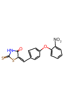 O=C1NC(=S)SC1=Cc1ccc(Oc2ccccc2[N+](=O)[O-])cc1